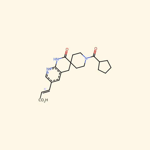 O=C(O)/C=C/c1cnc2c(c1)CC1(CCN(C(=O)C3CCCC3)CC1)C(=O)N2